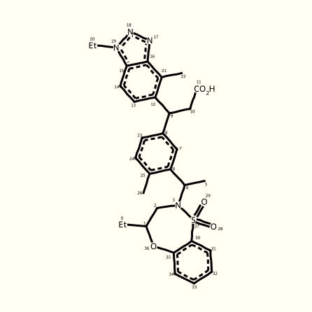 CCC1CN(C(C)c2cc(C(CC(=O)O)c3ccc4c(nnn4CC)c3C)ccc2C)S(=O)(=O)c2ccccc2O1